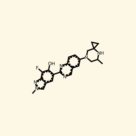 CC1CN(c2ccc3nc(-c4cc5cn(C)nc5c(F)c4O)ncc3c2)CC2(CC2)N1